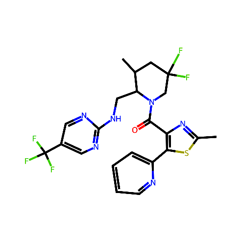 Cc1nc(C(=O)N2CC(F)(F)CC(C)C2CNc2ncc(C(F)(F)F)cn2)c(-c2ccccn2)s1